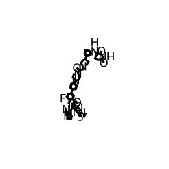 O=C1CCC(Nc2cccc(C3CCN(CC(=O)N4CCN(c5ccc(-c6cc(F)c7c(c6)C(=O)N(C(C(=O)Nc6nccs6)c6ncn8c6CCC8)C7)cc5)CC4)CC3)c2)C(=O)N1